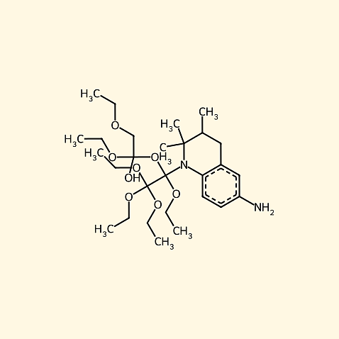 CCOCC(O)(OCC)OC(OCC)(N1c2ccc(N)cc2CC(C)C1(C)C)C(OCC)(OCC)OCC